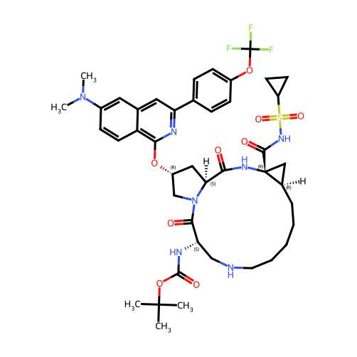 CN(C)c1ccc2c(O[C@@H]3C[C@H]4C(=O)N[C@]5(C(=O)NS(=O)(=O)C6CC6)C[C@H]5CCCCCNC[C@H](NC(=O)OC(C)(C)C)C(=O)N4C3)nc(-c3ccc(OC(F)(F)F)cc3)cc2c1